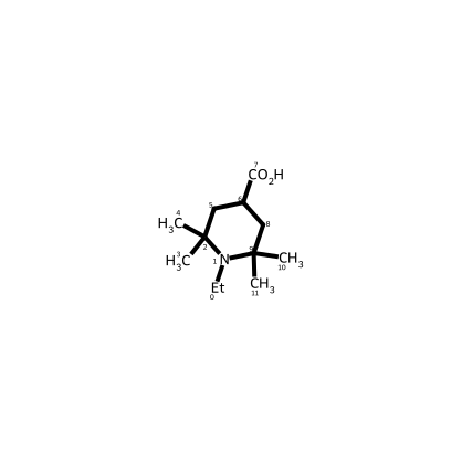 CCN1C(C)(C)CC(C(=O)O)CC1(C)C